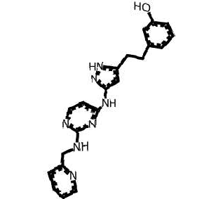 Oc1cccc(CCc2cc(Nc3ccnc(NCc4ccccn4)n3)n[nH]2)c1